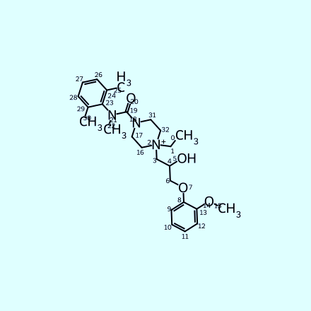 CC[N+]1(CC(O)COc2ccccc2OC)CCN(C(=O)N(C)c2c(C)cccc2C)CC1